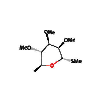 [CH2]S[C@@H]1O[C@@H](C)[C@H](OC)[C@@H](OC)[C@H]1OC